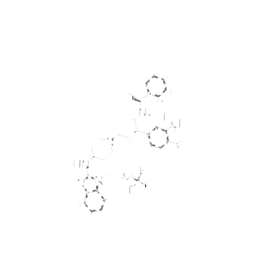 CN(CC(CCN1CCC(Nc2nc3ccccc3n2CCOC(F)(F)F)CC1)c1ccc(Cl)c(Cl)c1)C(=O)c1ccccc1